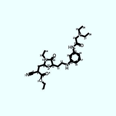 CCOC(=O)C(C#N)CC1SC(CCNc2cccc(NC(=O)CN(CC)CC)c2)C(=O)N1CC